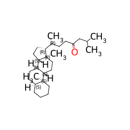 CC(C)CC(=O)CC[C@@H](C)[C@H]1CC[C@H]2[C@@H]3CC[C@@H]4CCCC[C@]4(C)[C@H]3CC[C@]12C